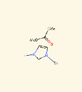 CCN1C=CN(C)C1.COC(=O)OC